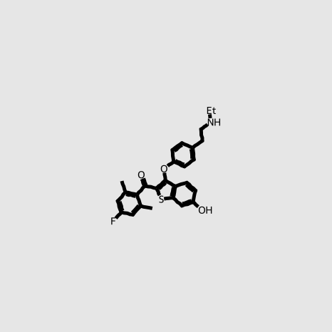 CCNCCc1ccc(Oc2c(C(=O)c3c(C)cc(F)cc3C)sc3cc(O)ccc23)cc1